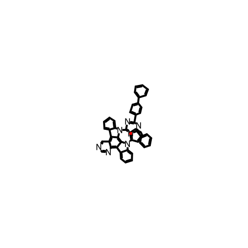 c1ccc(-c2ccc(-c3nc(-c4ccccc4)nc(-n4c5ccccc5c5c6cncnc6c6c7ccccc7n(-c7ccccc7)c6c54)n3)cc2)cc1